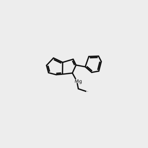 [CH2][CH2][Mg][CH]1C(c2ccccc2)=Cc2ccccc21